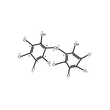 Oc1c(Cl)c(Cl)c(Cl)c(Cl)c1Cl.Oc1c(Cl)c(Cl)c(Cl)c(Cl)c1Cl